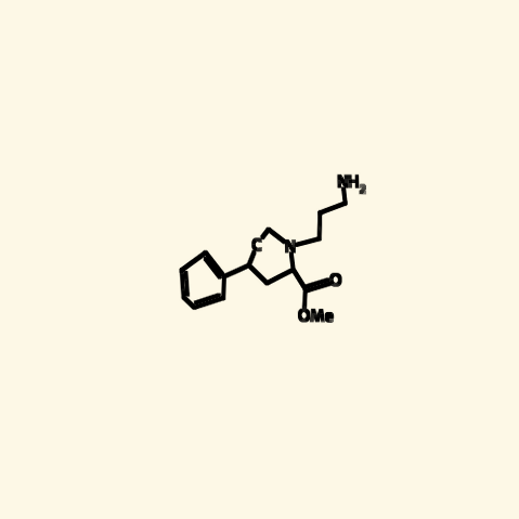 COC(=O)C1CC(c2ccccc2)CCN1CCCN